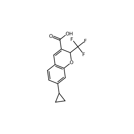 O=C(O)C1=Cc2ccc(C3CC3)cc2OC1C(F)(F)F